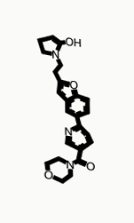 O=C(c1ccc(-c2ccc3oc(CCN4CCC=C4O)cc3c2)nc1)N1CCOCC1